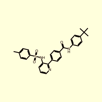 Cc1ccc(S(=O)(=O)Nc2cccnc2-c2ccc(C(=O)Nc3ccc(C(C)(C)C)cc3)cc2)cc1